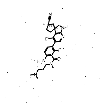 CN(C)CCCN(C)C(=O)c1c(N)ccc(-c2cnc3c(c2Cl)[C@@]2(CC[C@@](C)(C#N)C2)CN3)c1F